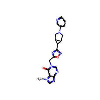 Cn1cnc2ncn(Cc3nc(C4C5CN(c6cccnc6)CC54)no3)c(=O)c21